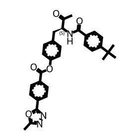 CC(=O)[C@H](Cc1ccc(OC(=O)c2ccc(-c3nnc(C)o3)cc2)cc1)NC(=O)c1ccc(C(C)(C)C)cc1